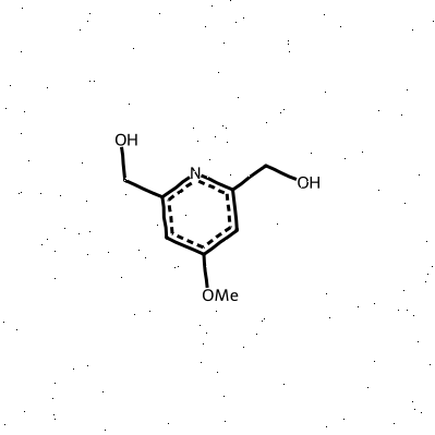 COc1cc(CO)nc(CO)c1